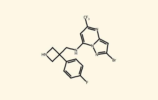 Fc1ccc(C2(CNc3cc(C(F)(F)F)nc4cc(Br)nn34)CNC2)cc1